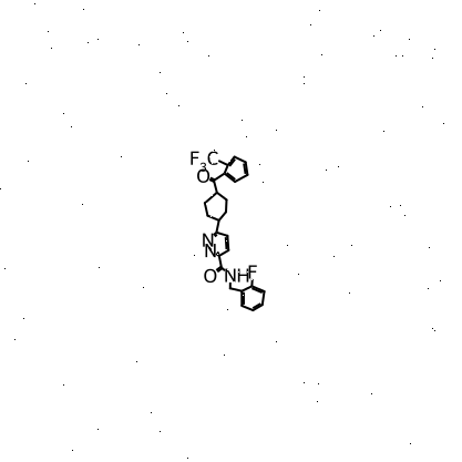 O=C(NCc1ccccc1F)c1ccc(C2CCC(C(=O)c3ccccc3C(F)(F)F)CC2)nn1